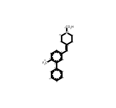 O=C(O)N1CCC(=Cc2ccc(C(F)(F)F)c(-c3ccccc3)c2)CC1